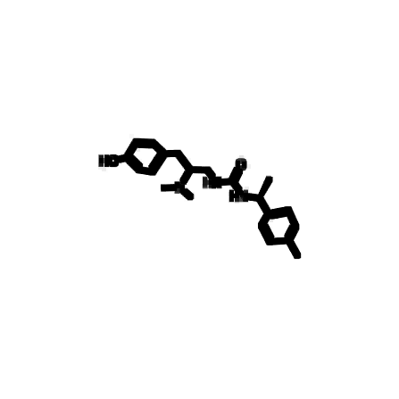 Cc1ccc([C@H](C)NC(=O)NCC(Cc2ccc(O)cc2)N(C)C)cc1